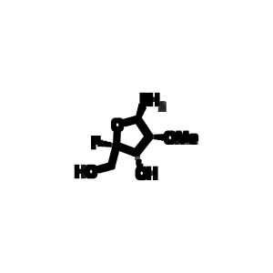 B[C@@H]1O[C@](F)(CO)[C@@H](O)[C@H]1OC